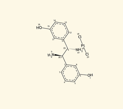 N[C@H](c1cccc(O)c1)[C@@H](N)c1cccc(O)c1.[Cl][Pt][Cl]